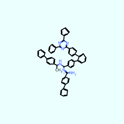 CC(NC(/N=C(\N)c1ccc(-c2ccccc2)cc1)c1ccc(-c2ccccc2-c2ccc(-c3nc(-c4ccccc4)nc(-c4ccccc4)n3)cc2)cc1)c1ccc(-c2ccccc2)cc1